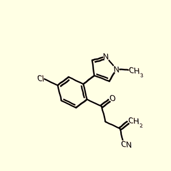 C=C(C#N)CC(=O)c1ccc(Cl)cc1-c1cnn(C)c1